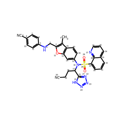 Cc1c(CNc2ccc(C#N)cc2)oc2cc(N(C(CCC#N)c3nnn[nH]3)S(=O)(=O)c3cccc4cccnc34)ccc12